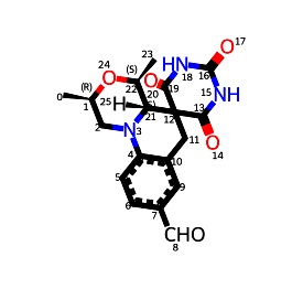 C[C@@H]1CN2c3ccc(C=O)cc3CC3(C(=O)NC(=O)NC3=O)[C@H]2[C@H](C)O1